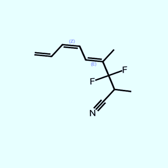 C=C/C=C\C=C(/C)C(F)(F)C(C)C#N